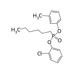 CCCCCCP(=O)(Oc1cccc(C)c1)Oc1ccccc1Cl